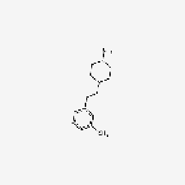 Cc1cccc(CCN2CCC(C)CC2)c1